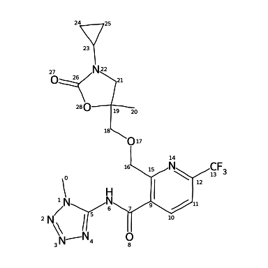 Cn1nnnc1NC(=O)c1ccc(C(F)(F)F)nc1COCC1(C)CN(C2CC2)C(=O)O1